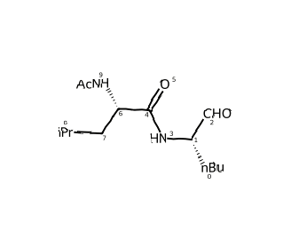 CCCC[C@@H](C=O)NC(=O)[C@H](CC(C)C)NC(C)=O